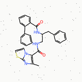 Cc1nc2sccn2c1C(=O)NCC(Cc1ccccc1)NC(=O)c1ccccc1-c1ccccc1